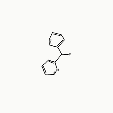 FC(c1ccccc1)c1ccccn1